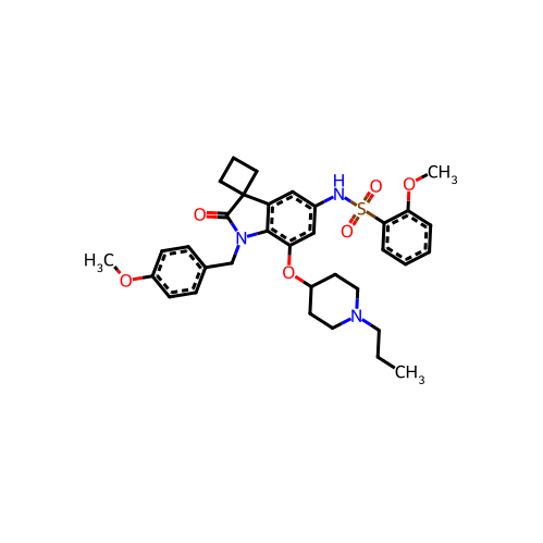 CCCN1CCC(Oc2cc(NS(=O)(=O)c3ccccc3OC)cc3c2N(Cc2ccc(OC)cc2)C(=O)C32CCC2)CC1